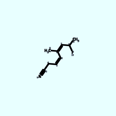 CC(/C=C\CC#N)=C/C(C)F